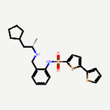 C[C@@H](CC1CCCC1)NCc1ccccc1NS(=O)(=O)c1ccc(-c2cccs2)s1